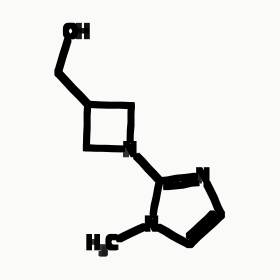 Cn1ccnc1N1CC(CO)C1